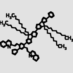 CCCCCCCCCCC1(CCCCCCCCCC)c2cc(-c3ccccc3)ccc2-c2ccc(-c3ccc4c(c3)C(CCCCCCCCCC)(CCCCCCCCCC)c3cc(-c5cc(/C=C/c6ccc7ccccc7n6)c(-c6ccccc6)cc5/C=C/c5ccc6ccccc6n5)ccc3-4)cc21